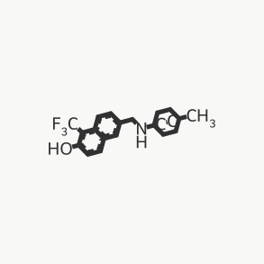 CC12CCC(NCc3ccc4c(C(F)(F)F)c(O)ccc4c3)(CC1)CC2